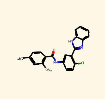 COc1ccc(C(=O)Nc2ccc(Cl)c(-c3nc4ccccc4[nH]3)c2)c(OC)c1